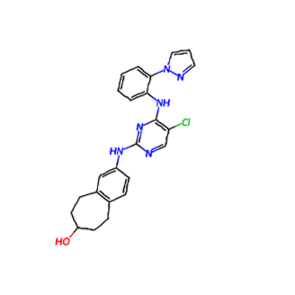 OC1CCc2ccc(Nc3ncc(Cl)c(Nc4ccccc4-n4cccn4)n3)cc2CC1